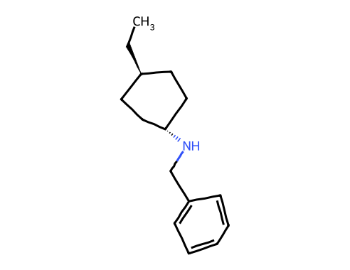 CC[C@H]1CC[C@H](NCc2ccccc2)CC1